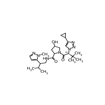 CC(C)C(CNC(=O)C1CC(O)CN1C(=O)[C@@H](n1cc(C2CC2)nn1)C(C)(C)C)c1ccnn1C